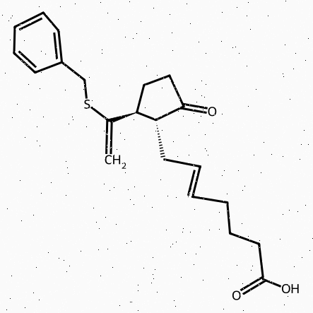 C=C(SCc1ccccc1)[C@H]1CCC(=O)[C@@H]1C/C=C/CCCC(=O)O